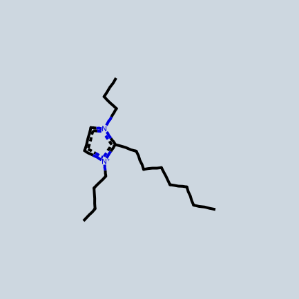 CCCCCCCc1n(CCC)cc[n+]1CCCC